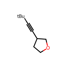 CC(C)(C)C#CC1CCOC1